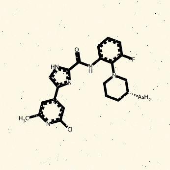 Cc1cc(-c2c[nH]c(C(=O)Nc3cccc(F)c3N3CCC[C@@H]([AsH2])C3)n2)cc(Cl)n1